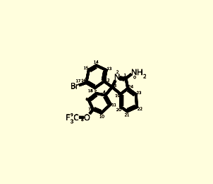 NC1=NC(c2ccc(OC(F)(F)F)cc2)(c2cccc(Br)c2)c2ccccc21